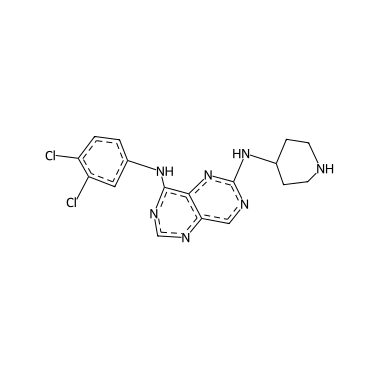 Clc1ccc(Nc2ncnc3cnc(NC4CCNCC4)nc23)cc1Cl